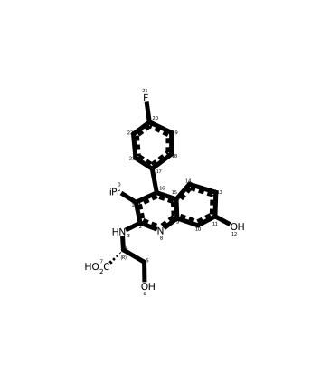 CC(C)c1c(N[C@H](CO)C(=O)O)nc2cc(O)ccc2c1-c1ccc(F)cc1